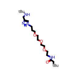 CC(C)(C)CC(=O)NCCOCCOCCOCCCn1cc(CNC(C)(C)C)nn1